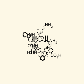 CC(C)C[C@H](NC(=O)[C@H](Cc1ccccc1)NC(=O)[C@H](CS)NC(=O)[C@H](Cc1c[nH]c2ccccc12)NC(=O)[C@H](CCCNC(=N)N)NC(=O)[C@@H](N)CCCCN)C(=O)N1CCC[C@H]1C(=O)O